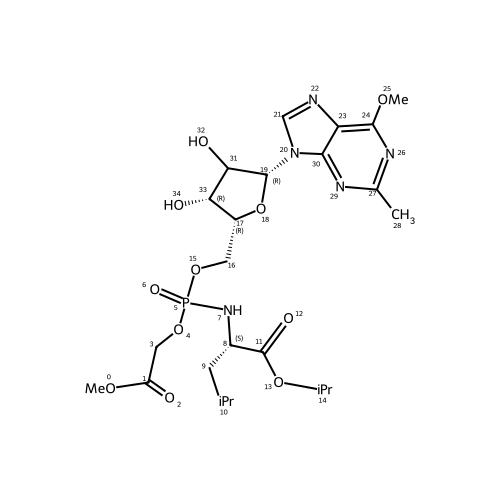 COC(=O)COP(=O)(N[C@@H](CC(C)C)C(=O)OC(C)C)OC[C@H]1O[C@@H](n2cnc3c(OC)nc(C)nc32)C(O)[C@H]1O